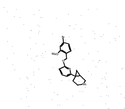 COc1cc(Br)ccc1COc1cccc(C23CCNCC2C3)n1